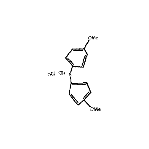 COc1ccc(Sc2ccc(OC)cc2)cc1.Cl.Cl